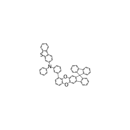 c1ccc(N(c2cccc(-c3cccc4c3Oc3cc5c(cc3O4)-c3ccccc3C53c4ccccc4-c4ccccc43)c2)c2ccc3c(c2)sc2ccccc23)cc1